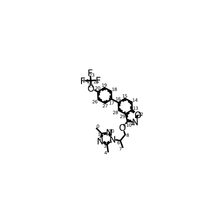 Cc1nc(C)n(C(C)COc2noc3ccc(-c4ccc(OC(F)(F)F)cc4)cc23)n1